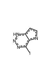 Ic1nn[nH]c2ccnc1-2